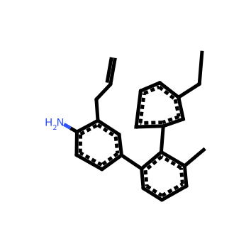 C=CCc1cc(-c2cccc(C)c2-c2cccc(CC)c2)ccc1N